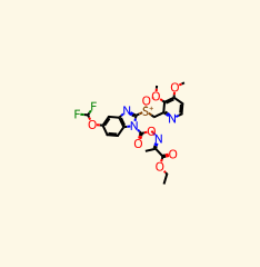 CCOC(=O)/C(C)=N/OC(=O)n1c([S+]([O-])Cc2nccc(OC)c2OC)nc2cc(OC(F)F)ccc21